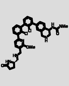 CNC(=O)NC1CNCc2cc(-c3cccc(-c4cccc(-c5ccc(CNC[C@@H]6CCC(=O)N6)c(OC)n5)c4Cl)c3Cl)ccc21